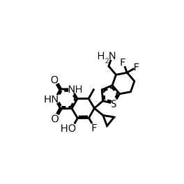 CC1c2[nH]c(=O)[nH]c(=O)c2C(O)=C(F)C1(c1cc2c(s1)CCC(F)(F)C2CN)C1CC1